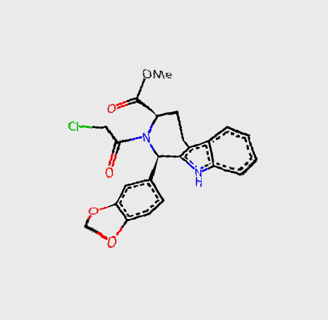 COC(=O)[C@H]1Cc2c([nH]c3ccccc23)[C@@H](c2ccc3c(c2)OCO3)N1C(=O)CCl